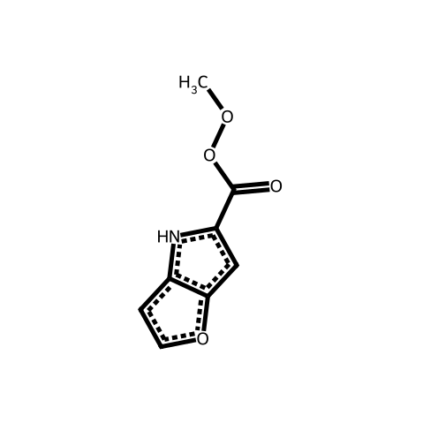 COOC(=O)c1cc2occc2[nH]1